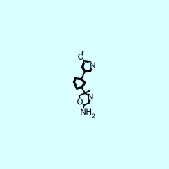 COc1cncc(-c2cccc(C3(C)COC(N)C=N3)c2)c1